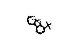 CC(C)(C)c1cccc2c1sc1ccccc12